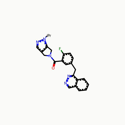 CC(C)n1ncc2c1CN(C(=O)c1cc(Cc3nncc4ccccc34)ccc1F)C2